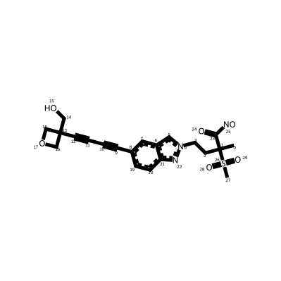 CC(CCn1cc2cc(C#CC#CC3(CO)COC3)ccc2n1)(C(=O)N=O)S(C)(=O)=O